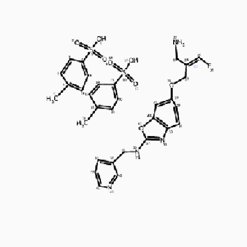 Cc1ccc(S(=O)(=O)O)cc1.Cc1ccc(S(=O)(=O)O)cc1.NC/C(=C/F)COc1ccc2nc(NCc3cccnc3)oc2c1